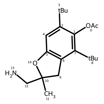 CC(=O)Oc1c(C(C)(C)C)cc2c(c1C(C)(C)C)CC(C)(CN)O2